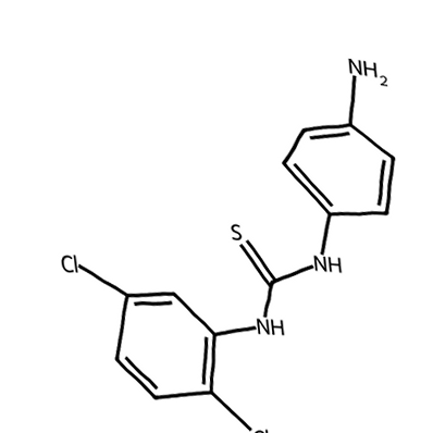 Nc1ccc(NC(=S)Nc2cc(Cl)ccc2Cl)cc1